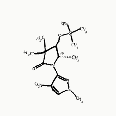 C[C@H]1C(O[Si](C)(C)C(C)(C)C)C(C)(C)C(=O)N1c1nn(C)cc1[N+](=O)[O-]